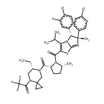 CC[C@H]1CN(C(=O)C(F)(F)F)C2(CC2)CN1C(=O)[C@H]1CC[C@@H](C)N1C(=O)C1=C(C(C)C)N2C(=N[C@@](C)(c3ccc(Cl)nc3)[C@H]2c2ccc(Cl)c(F)c2)S1